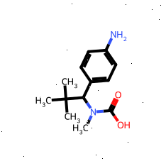 CN(C(=O)O)C(c1ccc(N)cc1)C(C)(C)C